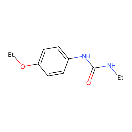 [CH2]CNC(=O)Nc1ccc(OCC)cc1